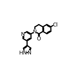 O=C1c2ccc(Cl)cc2CCN1c1cncc(-c2cn[nH]c2)c1